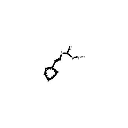 CCCCCOC(CC)OC=Cc1ccccc1